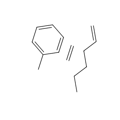 C=C.C=CCCCC.Cc1ccccc1